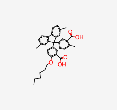 CCCCCCOc1ccc(C2(c3ccc(C)c(C(=O)O)c3)c3cc(C)ccc3-c3ccc(C)cc32)cc1C(=O)O